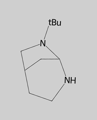 CC(C)(C)N1CC2CCNC1C2